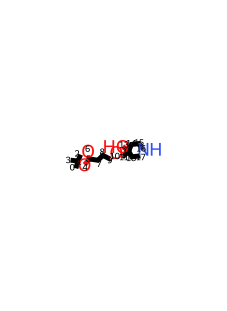 CC(C)(C)OC(=O)CCCOCC1(O)CCNCC1